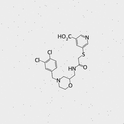 O=C(CSc1cncc(C(=O)O)c1)NCC1CN(Cc2ccc(Cl)c(Cl)c2)CCO1